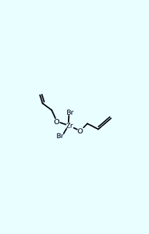 C=CC[O][Zr]([Br])([Br])[O]CC=C